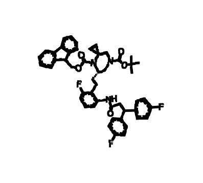 CC(C)(C)OC(=O)N1C[C@H](CCc2c(F)cccc2NC(=O)CC(c2ccc(F)cc2)c2ccc(F)cc2)N(C(=O)OCC2c3ccccc3-c3ccccc32)C2(CC2)C1